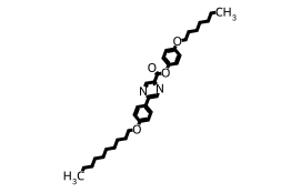 CCCCCCCCCCOc1ccc(-c2cnc(C(=O)Oc3ccc(OCCCCCCC)cc3)cn2)cc1